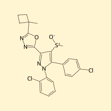 C[S+]([O-])c1c(-c2nnc(C3(C)CCC3)o2)nn(-c2ccccc2Cl)c1-c1ccc(Cl)cc1